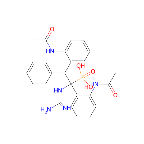 CC(=O)Nc1ccccc1C(c1ccccc1)C(NC(=N)N)(c1ccccc1NC(C)=O)P(=O)(O)O